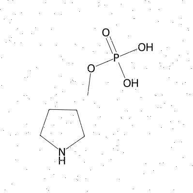 C1CCNC1.COP(=O)(O)O